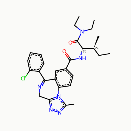 CC[C@H](C)[C@H](NC(=O)c1ccc2c(c1)C(c1ccccc1Cl)=NCc1nnc(C)n1-2)C(=O)N(CC)CC